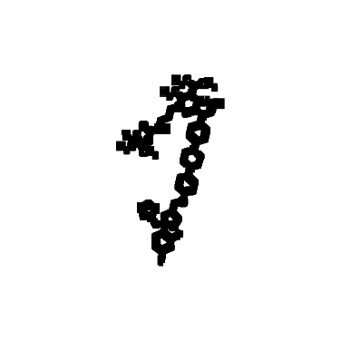 CC(C)C(NC(=O)N(C=N)c1ccc(N2CCN(c3ccc(OCC4COC(Cn5cncn5)(c5ccc(F)cc5F)C4)cc3)CC2)cc1)C(C)OCCCNC(=O)OC(C)(C)C